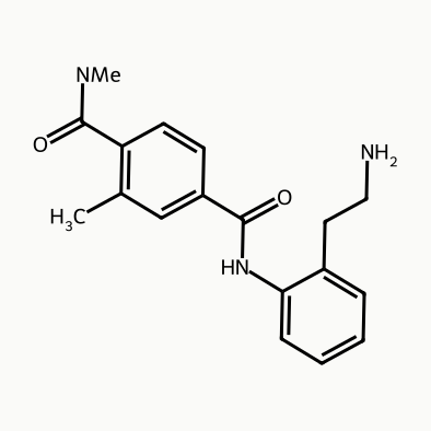 CNC(=O)c1ccc(C(=O)Nc2ccccc2CCN)cc1C